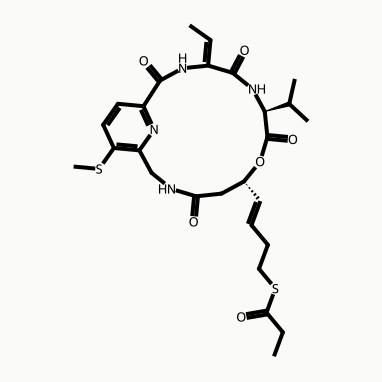 C/C=C1\NC(=O)c2ccc(SC)c(n2)CNC(=O)C[C@@H](/C=C/CCSC(=O)CC)OC(=O)[C@H](C(C)C)NC1=O